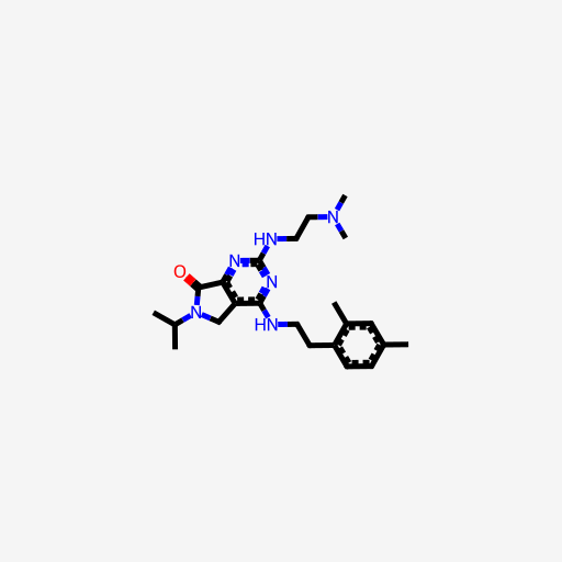 Cc1ccc(CCNc2nc(NCCN(C)C)nc3c2CN(C(C)C)C3=O)c(C)c1